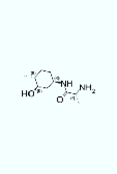 C[C@@H]1CC[C@@H](NC(=O)[C@@H](C)N)C[C@H]1O